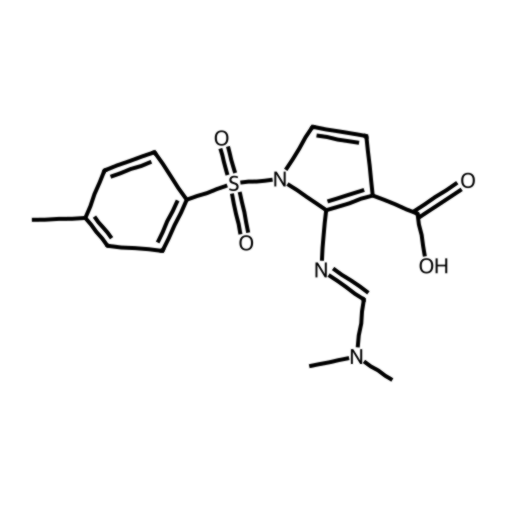 Cc1ccc(S(=O)(=O)n2ccc(C(=O)O)c2/N=C/N(C)C)cc1